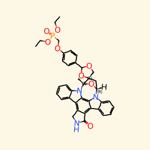 CCOP(=O)(COc1ccc(C2OC[C@]3(C[C@H]4O[C@]3(C)n3c5ccccc5c5c6c(c7c8ccccc8n4c7c53)C(=O)NC6)O2)cc1)OCC